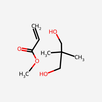 C=CC(=O)OC.CC(C)(CO)CO